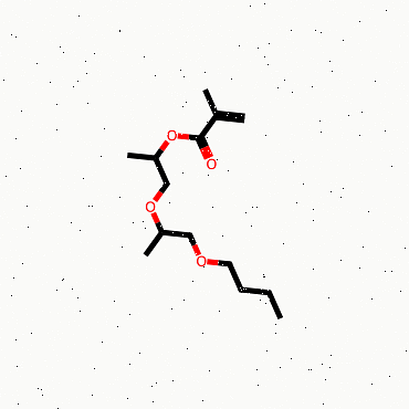 C=C(C)C(=O)OC(C)COC(C)COCCCC